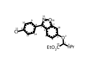 CCCC(Oc1ccc2c(-c3ccc(Cl)cc3)noc2c1)C(=O)OCC